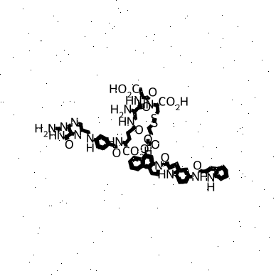 NC1=NC2N=CC(CNc3ccc(C(=O)NC(CCC(=O)NCC(N)C(=O)NC(CC(=O)O)C(=O)NC(CSSCCOC(=O)Oc4cc5c(c6ccccc46)CCN5C(=O)c4cc5cc(NC(=O)c6cc7ccccc7[nH]6)ccc5[nH]4)C(=O)O)C(=O)O)cc3)=NC2C(=O)N1